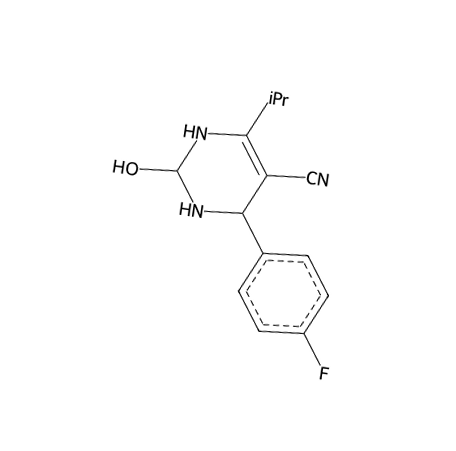 CC(C)C1=C(C#N)C(c2ccc(F)cc2)NC(O)N1